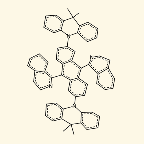 CC1(C)c2ccccc2N(c2ccc3c(-c4nccc5ccccc45)c4cc(N5c6ccccc6C(C)(C)c6ccccc65)ccc4c(-c4nccc5ccccc45)c3c2)c2ccccc21